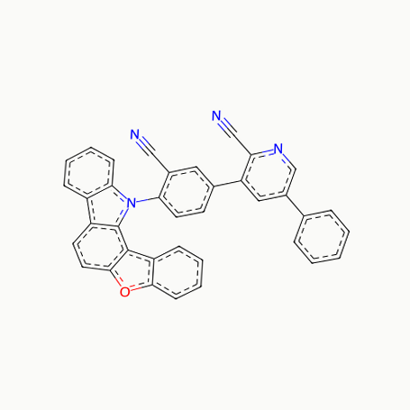 N#Cc1cc(-c2cc(-c3ccccc3)cnc2C#N)ccc1-n1c2ccccc2c2ccc3oc4ccccc4c3c21